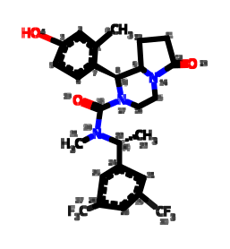 Cc1cc(O)ccc1[C@H]1C2CCC(=O)N2CCN1C(=O)N(C)[C@H](C)c1cc(C(F)(F)F)cc(C(F)(F)F)c1